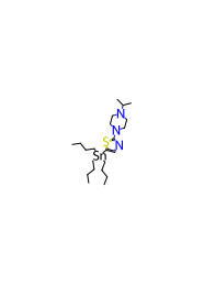 CCC[CH2][Sn]([CH2]CCC)([CH2]CCC)[c]1cnc(N2CCN(C(C)C)CC2)s1